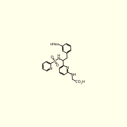 CCCCCCc1cccc(CC(NS(=O)(=O)c2ccccn2)c2cccc(NCC(=O)O)n2)c1